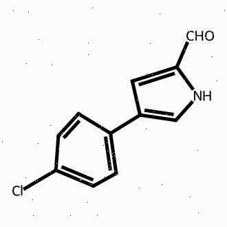 O=Cc1cc(-c2ccc(Cl)cc2)c[nH]1